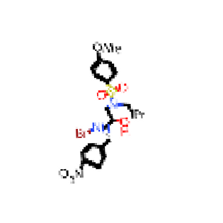 COc1ccc(S(=O)(=O)N(CC(C)C)C[C@@H](O)[C@H](Cc2ccc([N+](=O)[O-])cc2)NBr)cc1